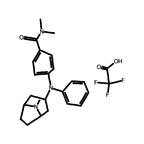 CN(C)C(=O)c1ccc(N(c2ccccc2)C2CC3CCC(C2)N3C)cc1.O=C(O)C(F)(F)F